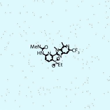 CCS(=O)(=O)c1ccc(NC(=O)NC)nc1-c1nc2cc(C(F)(F)F)nc(C)c2n1C